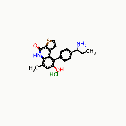 CC[C@@H](N)c1ccc(-c2c(O)cc(C)c3[nH]c(=O)c4sccc4c23)cc1.Cl